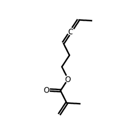 C=C(C)C(=O)OCCC=C=CC